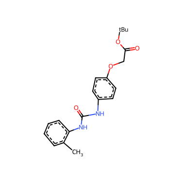 Cc1ccccc1NC(=O)Nc1ccc(OCC(=O)OC(C)(C)C)cc1